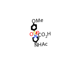 COc1ccc(S(=O)(=O)N2CC[C@@H](NC(C)=O)C[C@@H]2C(=O)O)cc1